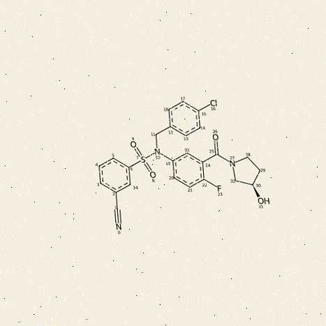 N#Cc1cccc(S(=O)(=O)N(Cc2ccc(Cl)cc2)c2ccc(F)c(C(=O)N3CC[C@@H](O)C3)c2)c1